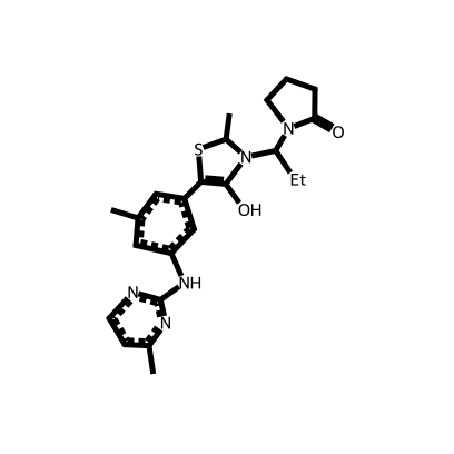 [CH2]CC(N1CCCC1=O)N1C(O)=C(c2cc(C)cc(Nc3nccc(C)n3)c2)SC1C